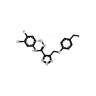 CCc1ccc(OCc2nonc2C(=NO)Nc2ccc(F)c(Cl)c2)cc1